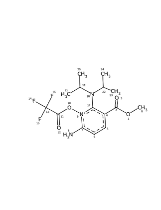 COC(=O)c1ccc(N)[n+](OC(=O)C(F)(F)F)c1N(C(C)C)C(C)C